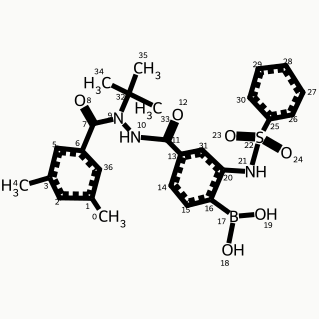 Cc1cc(C)cc(C(=O)N(NC(=O)c2ccc(B(O)O)c(NS(=O)(=O)c3ccccc3)c2)C(C)(C)C)c1